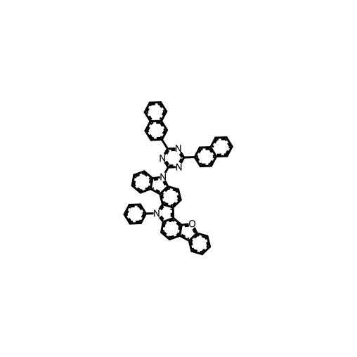 c1ccc(-n2c3ccc4c5ccccc5oc4c3c3ccc4c(c5ccccc5n4-c4nc(-c5ccc6ccccc6c5)nc(-c5ccc6ccccc6c5)n4)c32)cc1